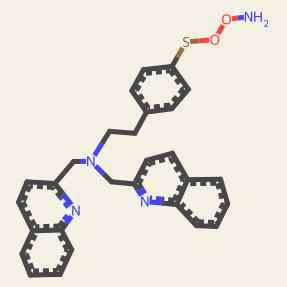 NOOSc1ccc(CCN(Cc2ccc3ccccc3n2)Cc2ccc3ccccc3n2)cc1